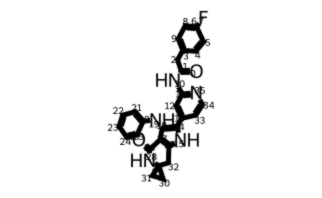 O=C(Cc1ccc(F)cc1)Nc1cc(-c2[nH]c3c(c2Nc2ccccc2)C(=O)NC2(CC2)C3)ccn1